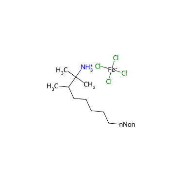 CCCCCCCCCCCCCCC(C)C(C)(C)[NH3+].[Cl][Fe-]([Cl])([Cl])[Cl]